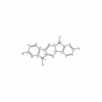 Cc1ccc2c(c1)N(C)C1C=c3c(n(C)c4cc(C)ccc34)=CC21